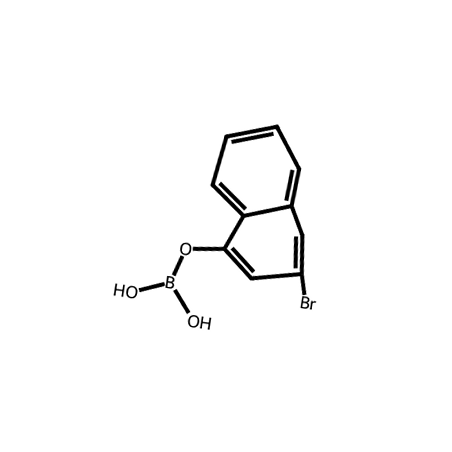 OB(O)Oc1cc(Br)cc2ccccc12